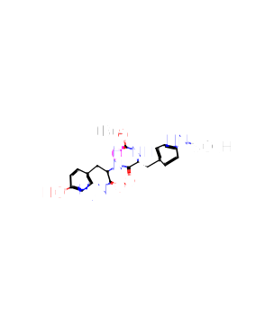 CC(C)(C)OC(=O)N[C@@H](Cc1ccc(NS(=O)(=O)O)cc1)C(=O)NC(Cc1ccc(O)cc1)C(N)=O